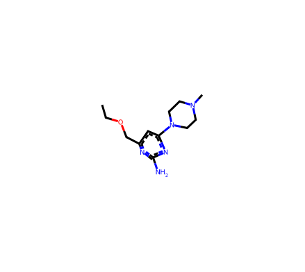 CCOCc1cc(N2CCN(C)CC2)nc(N)n1